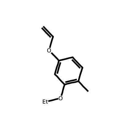 C=COc1ccc(C)c(OCC)c1